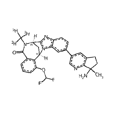 [2H]C([2H])([2H])N1C(=O)c2cccc(OC(F)F)c2[C@H]2C[C@@H]1c1nc3ccc(-c4cnc5c(c4)CCC5(C)N)cc3n12